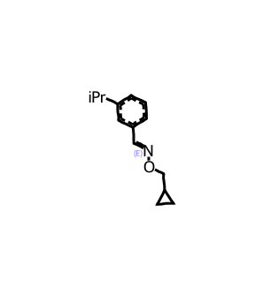 CC(C)c1cccc(/C=N/OCC2CC2)c1